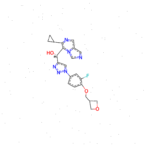 O[C@@H](c1cn(-c2ccc(OCC3COC3)c(F)c2)nn1)c1c(C2CC2)ncc2cncn12